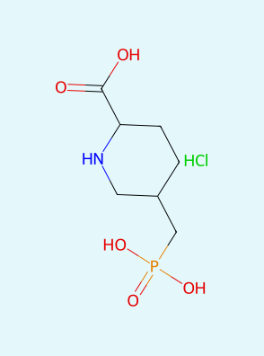 Cl.O=C(O)C1CCC(CP(=O)(O)O)CN1